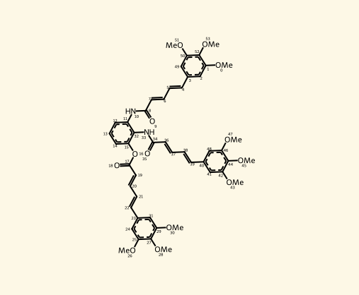 COc1cc(/C=C/C=C/C(=O)Nc2cccc(OC(=O)/C=C/C=C/c3cc(OC)c(OC)c(OC)c3)c2NC(=O)/C=C/C=C/c2cc(OC)c(OC)c(OC)c2)cc(OC)c1OC